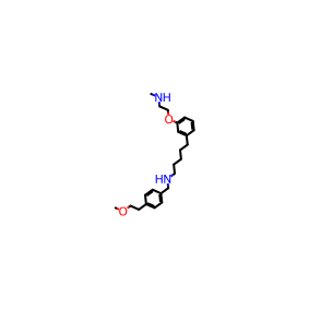 CNCCOc1cccc(CCCCCNCc2ccc(CCOC)cc2)c1